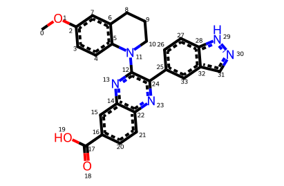 COc1ccc2c(c1)CCCN2c1nc2cc(C(=O)O)ccc2nc1-c1ccc2[nH]ncc2c1